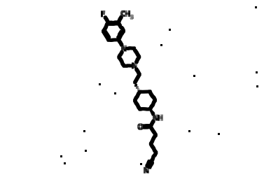 Cc1cc(N2CCN(CC[C@H]3CC[C@H](NC(=O)CCCC#N)CC3)CC2)ccc1F